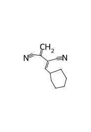 C=C(C#N)C(C#N)=CC1CCCCC1